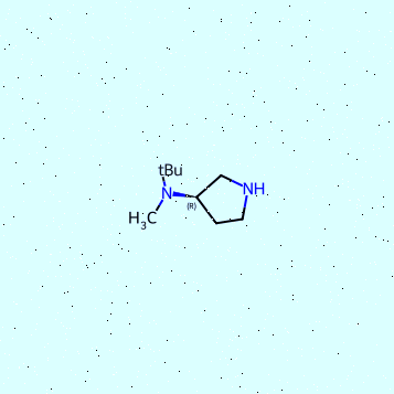 CN([C@@H]1CCNC1)C(C)(C)C